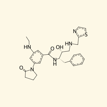 CCNc1cc(C(=O)N[C@@H](Cc2ccccc2)[C@H](O)CNCc2nccs2)cc(N2CCCC2=O)c1